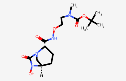 CN(CCONC(=O)[C@@H]1CC[C@@H]2CN1C(=O)N2O)C(=O)OC(C)(C)C